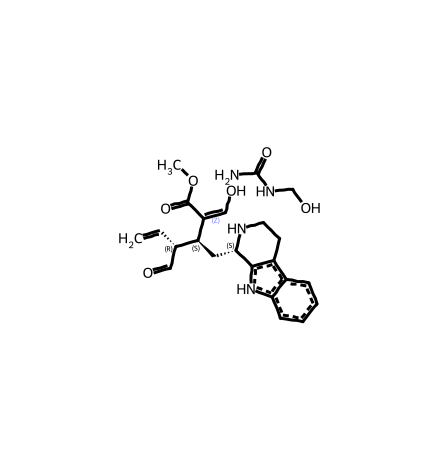 C=C[C@@H](C=O)[C@H](C[C@@H]1NCCc2c1[nH]c1ccccc21)/C(=C/O)C(=O)OC.NC(=O)NCO